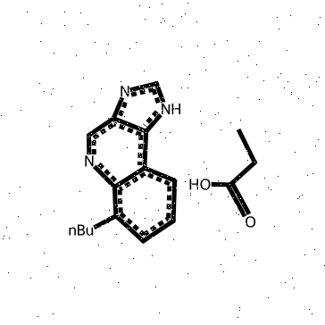 CCC(=O)O.CCCCc1cccc2c1ncc1nc[nH]c12